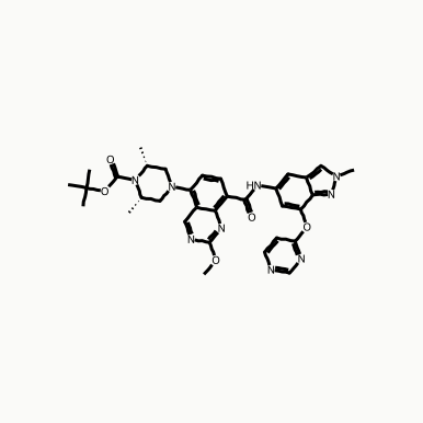 COc1ncc2c(N3C[C@@H](C)N(C(=O)OC(C)(C)C)[C@@H](C)C3)ccc(C(=O)Nc3cc(Oc4ccncn4)c4nn(C)cc4c3)c2n1